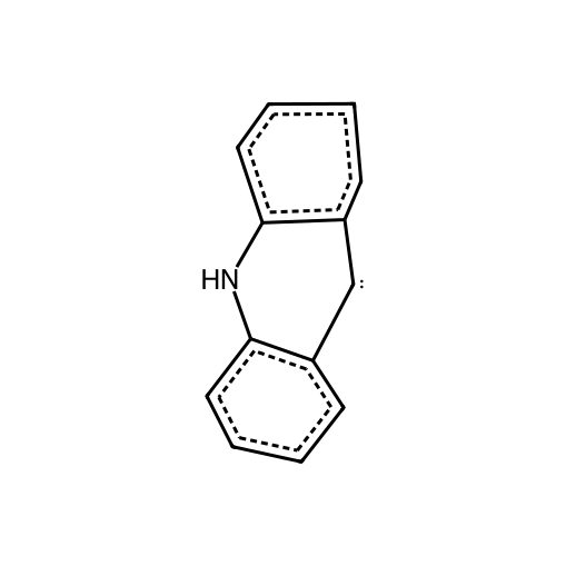 [C]1c2ccccc2Nc2ccccc21